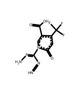 N=NC(=NN)n1cc(C(=O)O)c(C(F)(F)F)cc1=O